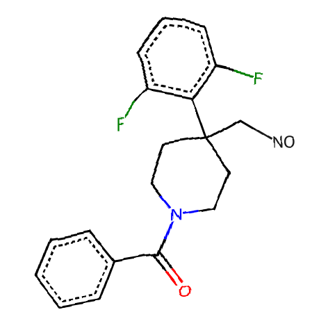 O=NCC1(c2c(F)cccc2F)CCN(C(=O)c2ccccc2)CC1